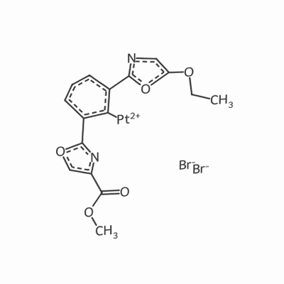 CCOc1cnc(-c2cccc(-c3nc(C(=O)OC)co3)[c]2[Pt+2])o1.[Br-].[Br-]